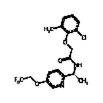 Cc1cccc(Cl)c1OCC(=O)N[C@H](C)c1ccc(OCC(F)(F)F)cn1